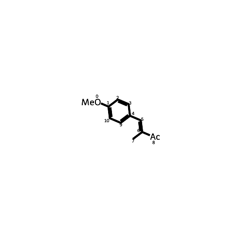 COc1ccc(/C=C(\C)C(C)=O)cc1